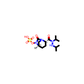 CC(C)NN(C(=O)[C@@H]1CC[C@@H]2CN1C(=O)N2OS(=O)(=O)O)C(C)C